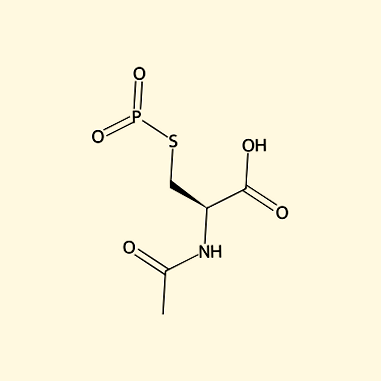 CC(=O)N[C@@H](CSP(=O)=O)C(=O)O